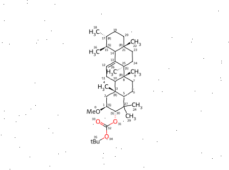 CO[C@H]1C[C@@]2(C)C(CC[C@]3(C)C2CC=C2C4[C@@H](C)[C@H](C)CC[C@]4(C)CC[C@]23C)C(C)(C)[C@@H]1OC(=O)OC(C)(C)C